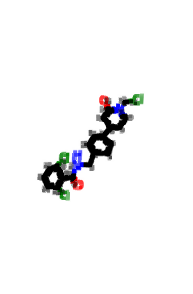 O=C(NCc1ccc(-c2ccn(CCl)c(=O)c2)cc1)c1c(Cl)cccc1Cl